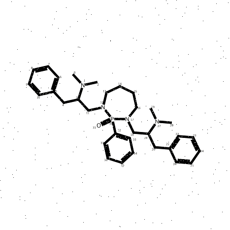 CN(C)C(Cc1ccccc1)CN1CCCCN(CC(Cc2ccccc2)N(C)C)P1(=O)c1ccccc1